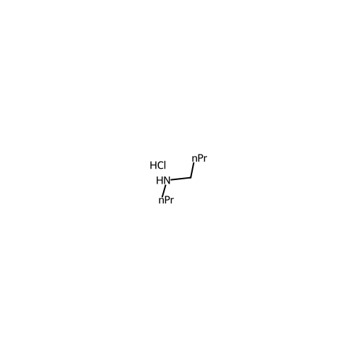 CCCCNCCC.Cl